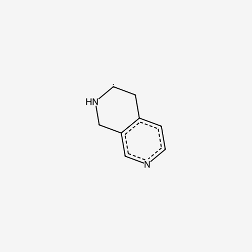 [CH]1Cc2ccncc2CN1